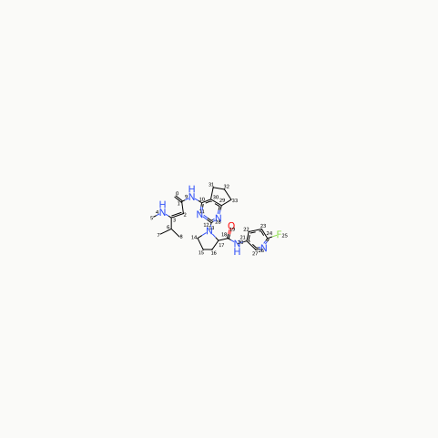 C=C(/C=C(\NC)C(C)C)Nc1nc(N2CCCC2C(=O)Nc2ccc(F)nc2)nc2c1CCC2